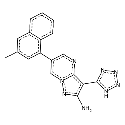 Cc1cc(-c2cnc3c(-c4nnn[nH]4)c(N)nn3c2)c2ccccc2c1